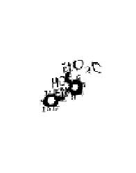 CCOC(=O)CC(O)c1ccccc1NCC1CCCCC1